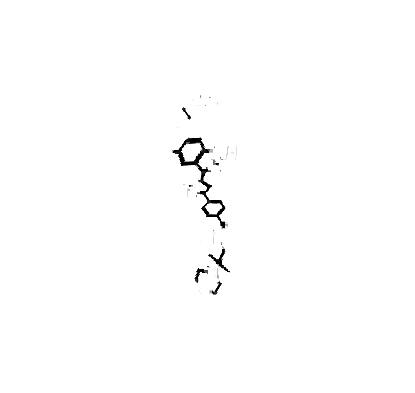 COCCOc1cc2[nH]nc(-c3cc(-c4ccc(C(=O)NCC(C)(C)N5CCOCC5)cc4)no3)c2cc1F